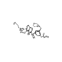 CNC(=O)Oc1cc(CN2CCOCC2)cc(Nc2ncc3ccc(-c4cnn(CCC(C)C)c4)c(OC)c3n2)c1